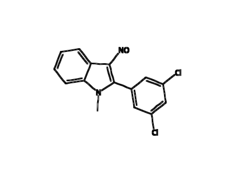 Cn1c(-c2cc(Cl)cc(Cl)c2)c(N=O)c2ccccc21